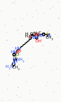 Cc1ncsc1-c1ccc([C@@H](C)NC(=O)[C@H]2C[C@H](O)CN2C(=O)[C@H](NC(=O)CCCCCCCCCCCNC(=O)CC(=O)Nc2cccc(Sc3ncc(N4CCC(C)(N)CC4)nc3N)c2Cl)C(C)(C)C)cc1